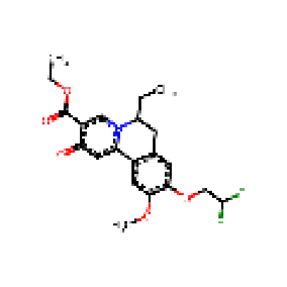 CCOC(=O)c1cn2c(cc1=O)-c1cc(OC)c(OCC(F)F)cc1CC2CC